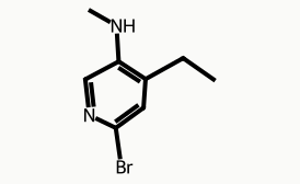 CCc1cc(Br)ncc1NC